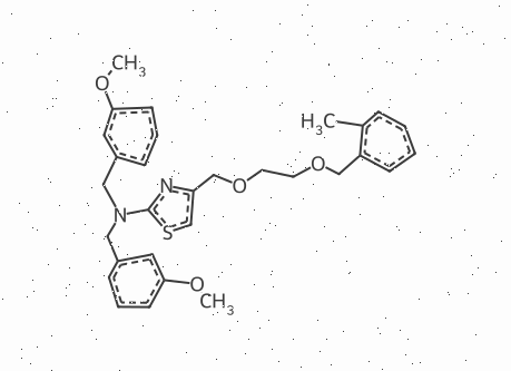 COc1cccc(CN(Cc2cccc(OC)c2)c2nc(COCCOCc3ccccc3C)cs2)c1